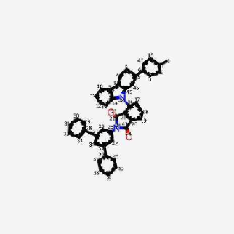 Cc1ccc(-c2ccc3c4ccccc4n(-c4cccc5c4C(=O)N(c4cc(-c6ccccc6)cc(-c6ccccc6)c4)C5=O)c3c2)cc1